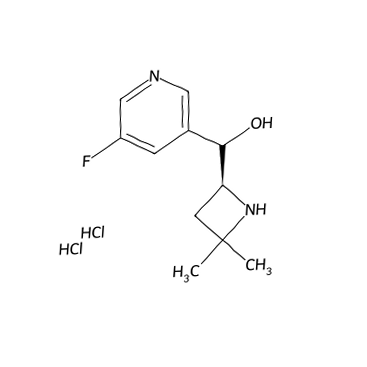 CC1(C)C[C@@H](C(O)c2cncc(F)c2)N1.Cl.Cl